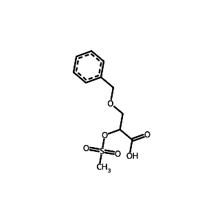 CS(=O)(=O)OC(COCc1ccccc1)C(=O)O